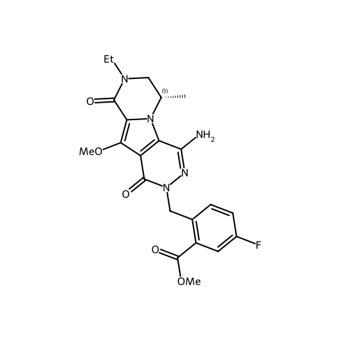 CCN1C[C@H](C)n2c(c(OC)c3c(=O)n(Cc4ccc(F)cc4C(=O)OC)nc(N)c32)C1=O